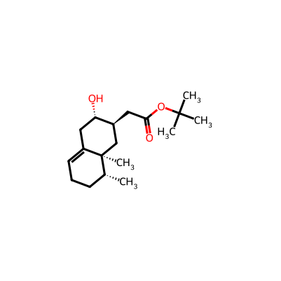 C[C@@H]1CCC=C2C[C@H](O)[C@@H](CC(=O)OC(C)(C)C)C[C@]21C